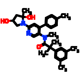 Cc1ccc(-c2cc(N3CC(O)CC3(C)O)ncc2N(C)C(=O)C(C)(C)c2cc(C(F)(F)F)cc(C(F)(F)F)c2)cc1